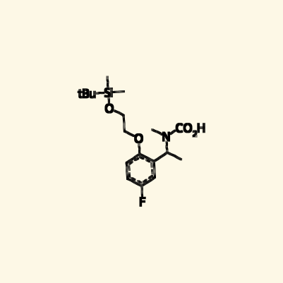 CC(c1cc(F)ccc1OCCO[Si](C)(C)C(C)(C)C)N(C)C(=O)O